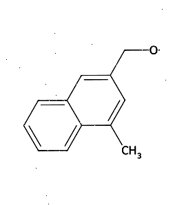 Cc1cc(C[O])cc2ccccc12